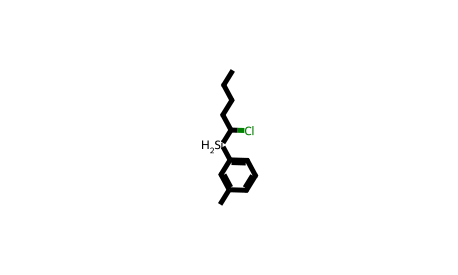 CCCCC(Cl)[SiH2]c1cccc(C)c1